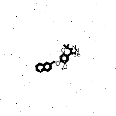 COc1cc2c(cc1OCc1ccc3ccccc3c1)OC(C)(C)c1nn[se]c1-2